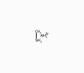 C[SiH3].[AlH3].[Zr]